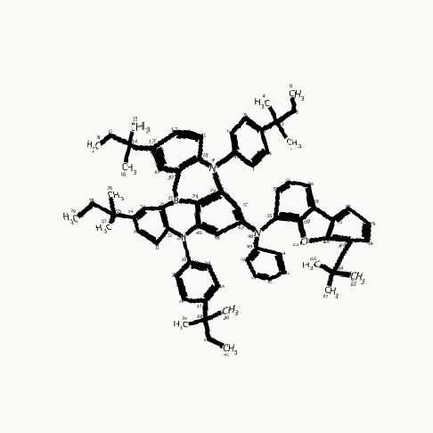 CCC(C)(C)c1ccc(N2c3ccc(C(C)(C)CC)cc3B3c4cc(C(C)(C)CC)ccc4N(c4ccc(C(C)(C)CC)cc4)c4cc(N(c5ccccc5)c5cccc6c5oc5c(C(C)(C)C)cccc56)cc2c43)cc1